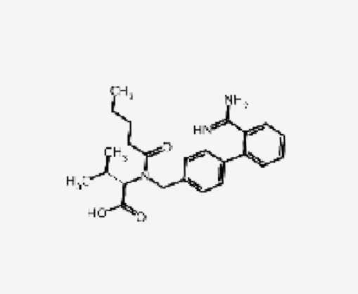 CCCCC(=O)N(Cc1ccc(-c2ccccc2C(=N)N)cc1)[C@H](C(=O)O)C(C)C